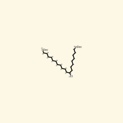 [CH2]CC(CCCCCCCCCCCCCCCCCC)CCCCCCCCCCCCCCCCCCCCC